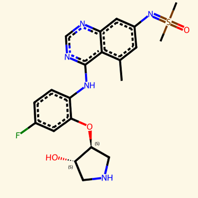 Cc1cc(N=S(C)(C)=O)cc2ncnc(Nc3ccc(F)cc3O[C@H]3CNC[C@@H]3O)c12